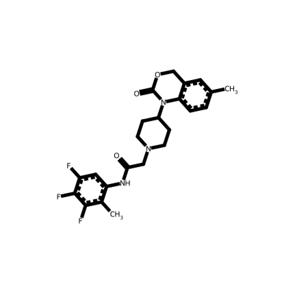 Cc1ccc2c(c1)COC(=O)N2C1CCN(CC(=O)Nc2cc(F)c(F)c(F)c2C)CC1